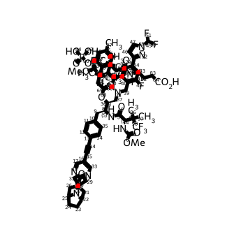 COC(=O)N[C@H](C(=O)N[C@@H](Cc1ccc(C#Cc2cnc(N3CC4CCC(C3)N4C3COC3)nc2)cc1)[C@H](CN(Cc1c(F)cc(-c2ccn(C(F)F)n2)cc1F)NC(=O)[C@@H](NC(=O)OC)C(C)(C)C(F)(F)F)OC(=O)CC(C)(C)c1c(CC(=O)NCCCC(=O)O)cc(C)cc1OP(=O)(O)O)C(C)(C)C(F)(F)F